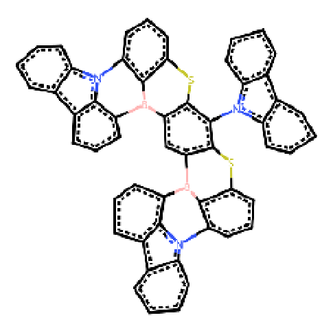 c1cc2c3c(c1)-n1c4ccccc4c4cccc(c41)B3c1cc3c(c(-n4c5ccccc5c5ccccc54)c1S2)Sc1cccc2c1B3c1cccc3c4ccccc4n-2c13